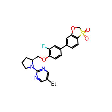 CCc1cnc(N2CCC[C@H]2COc2ccc(-c3ccc4c(c3)OCS4(=O)=O)cc2F)nc1